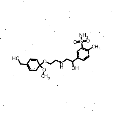 COC1(OCCNCC(O)c2ccc(C)c(S(N)(=O)=O)c2)C=CC(CO)=CC1